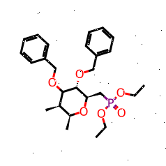 CCOP(=O)(C[C@H]1O[C@@H](C)[C@@H](C)C(OCc2ccccc2)[C@@H]1OCc1ccccc1)OCC